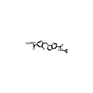 O=C(NO)c1cnc(Cn2ccc3cc(C(=O)NC4CC4)cnc32)c(F)c1